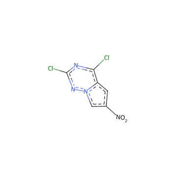 O=[N+]([O-])c1cc2c(Cl)nc(Cl)nn2c1